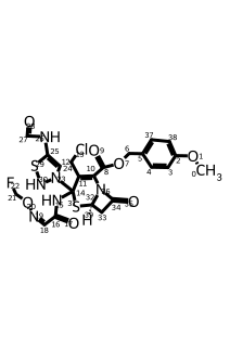 COc1ccc(COC(=O)C2=C(CCl)C(NC(=O)/C=N\OCF)(N3C=C(NC=O)SN3)S[C@@H]3CC(=O)N23)cc1